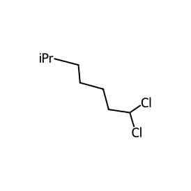 CC(C)CCCCC(Cl)Cl